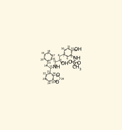 CS(=O)(=O)Nc1cc(CC(O)CNC(Cc2ccccc2)c2cccc3c2OCO3)ccc1O